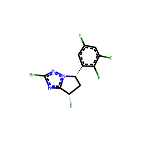 Fc1cc(F)c(F)c([C@@H]2C[C@H](F)c3nc(Br)nn32)c1